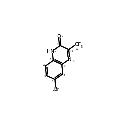 O=c1[nH]c2ccc(Br)cc2nc1C(F)(F)F